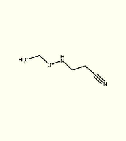 CCONCCC#N